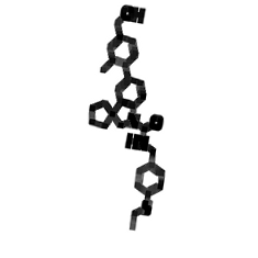 CCSc1ccc(CNC(=O)N2CC3(CCCC3)c3cc(-c4ccc(CO)cc4C)ccc32)cc1